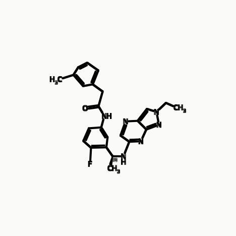 CCn1cc2ncc(N[C@@H](C)c3cc(NC(=O)Cc4cccc(C)c4)ccc3F)nc2n1